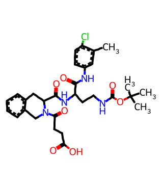 Cc1cc(NC(=O)C(CCNC(=O)OC(C)(C)C)NC(=O)C2Cc3ccccc3CN2C(=O)CCC(=O)O)ccc1Cl